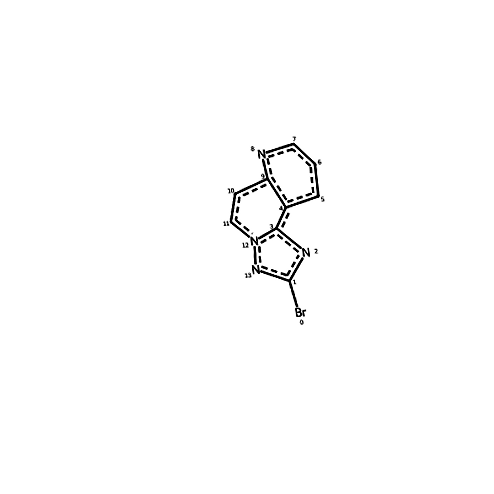 Brc1nc2c3cccnc3ccn2n1